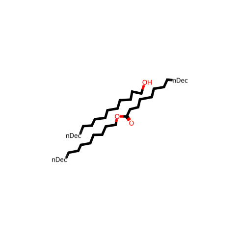 CCCCCCCCCCCCCCCCCCCCO.CCCCCCCCCCCCCCCCCCOC(=O)CCCCCCCCCCCCCCCCC